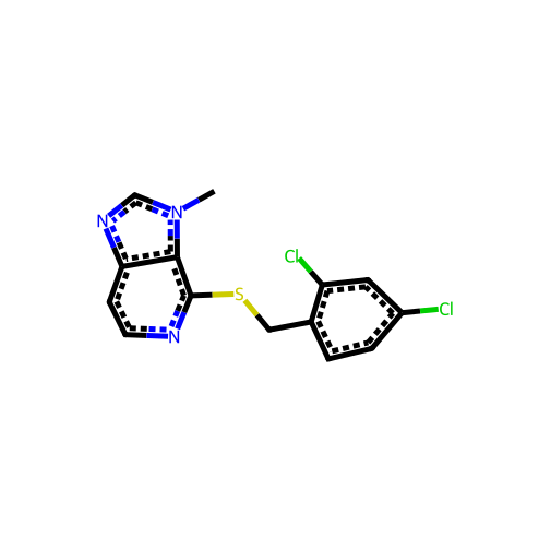 Cn1cnc2ccnc(SCc3ccc(Cl)cc3Cl)c21